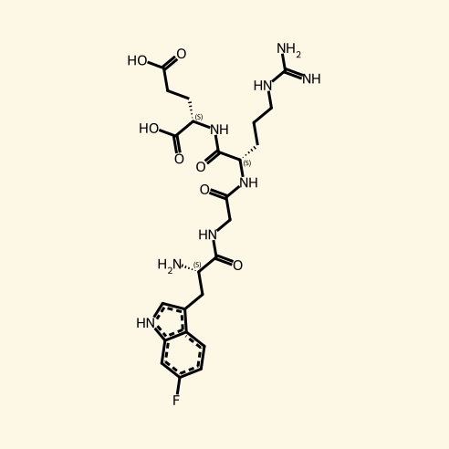 N=C(N)NCCC[C@H](NC(=O)CNC(=O)[C@@H](N)Cc1c[nH]c2cc(F)ccc12)C(=O)N[C@@H](CCC(=O)O)C(=O)O